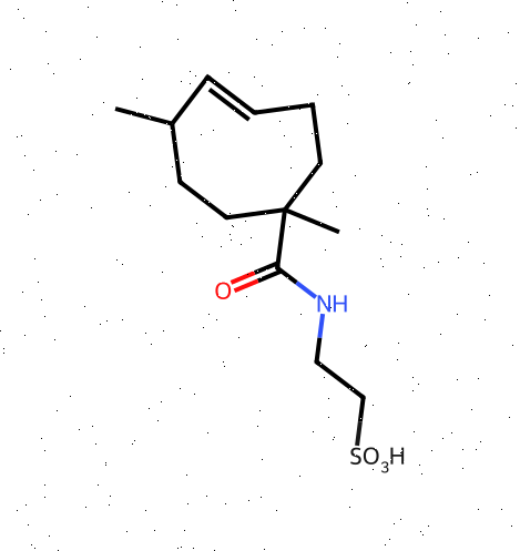 CC1/C=C/CCC(C)(C(=O)NCCS(=O)(=O)O)CC1